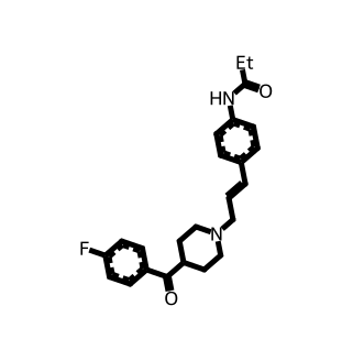 CCC(=O)Nc1ccc(C=CCN2CCC(C(=O)c3ccc(F)cc3)CC2)cc1